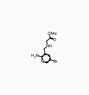 COC(=O)CNCc1cc(Br)cnc1N